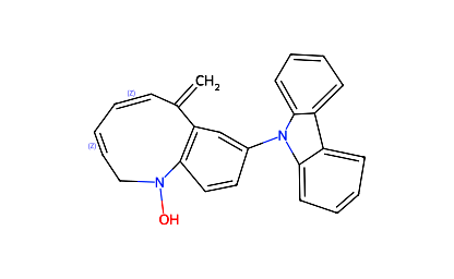 C=C1/C=C\C=C/CN(O)c2ccc(-n3c4ccccc4c4ccccc43)cc21